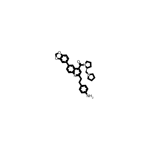 Nc1ccc(CCc2cc(C(=O)N3CCC[C@H]3CN3CCCC3)c3cc(-c4ccc5c(c4)OCO5)ccc3n2)cc1